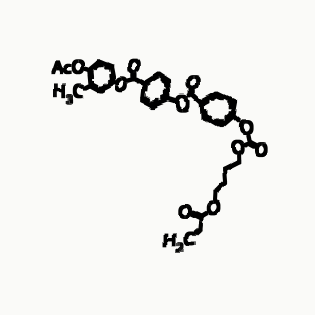 C=CC(=O)OCCCCOC(=O)Oc1ccc(C(=O)Oc2ccc(C(=O)Oc3ccc(OC(C)=O)c(C)c3)cc2)cc1